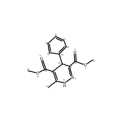 COC(=O)C1=NNC(C)=C(C(=O)OC)C1c1ccccc1